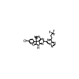 Nc1nc(-c2cn3ncnc3c(CCC(F)(F)F)n2)nc2c1C(c1ccc(Cl)cn1)(C1CC1)C(=O)N2